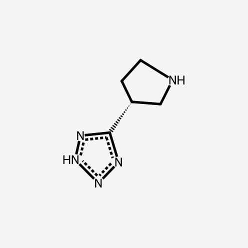 C1C[C@@H](c2nn[nH]n2)CN1